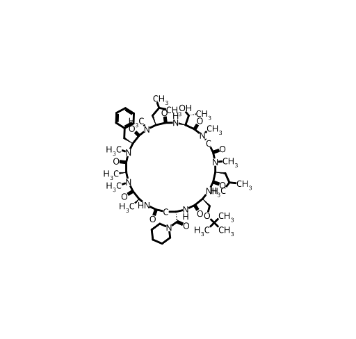 CC(C)C[C@H]1C(=O)N[C@@H](COC(C)(C)C)C(=O)N[C@H](C(=O)N2CCCCC2)CC(=O)N[C@@H](C)C(=O)N(C)[C@@H](C)C(=O)N(C)[C@@H](Cc2ccccc2)C(=O)N(C)[C@@H](CC(C)C)C(=O)N[C@@H]([C@@H](C)O)C(=O)N(C)CC(=O)N1C